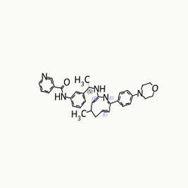 CC1\C=C(N[C@@H](C)c2cccc(NC(=O)c3cccnc3)c2)/N=C(c2ccc(N3CCOCC3)cc2)\C=C\C1